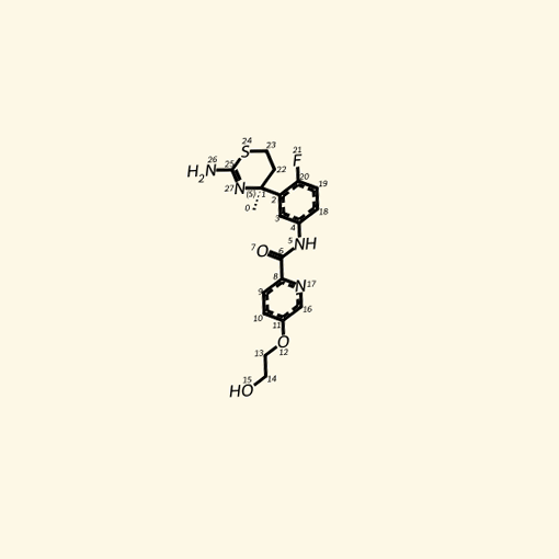 C[C@@]1(c2cc(NC(=O)c3ccc(OCCO)cn3)ccc2F)CCSC(N)=N1